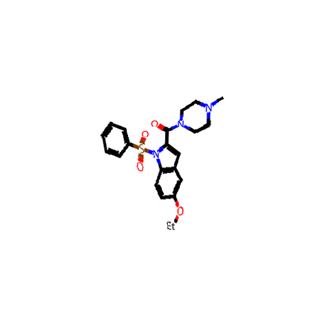 CCOc1ccc2c(c1)cc(C(=O)N1CCN(C)CC1)n2S(=O)(=O)c1ccccc1